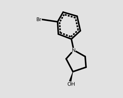 O[C@@H]1CCN(c2cccc(Br)c2)C1